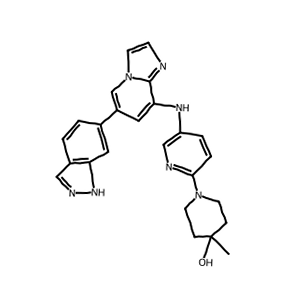 CC1(O)CCN(c2ccc(Nc3cc(-c4ccc5cn[nH]c5c4)cn4ccnc34)cn2)CC1